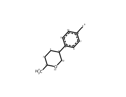 CC1CCC(c2ccc(I)cc2)CO1